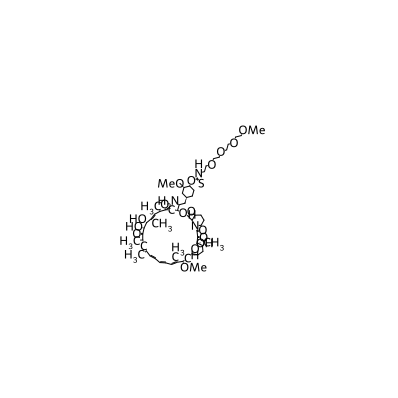 COCCOCCOCCOCCNC(=S)O[C@@H]1CC[C@@H](C[C@@H](N)[C@@H]2CC(=O)[C@H](C)/C=C(\C)[C@@H](O)[C@@H](O)C(=O)[C@H](C)C[C@H](C)/C=C/C=C/C=C(\C)[C@@H](OC)C[C@@H]3CC[C@@H](C)[C@@](O)(O3)C(=O)C(=O)N3CCCC[C@H]3C(=O)O2)C[C@H]1OC